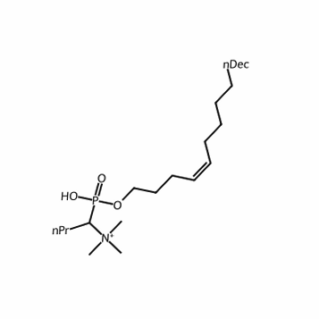 CCCCCCCCCCCCCC/C=C\CCCOP(=O)(O)C(CCC)[N+](C)(C)C